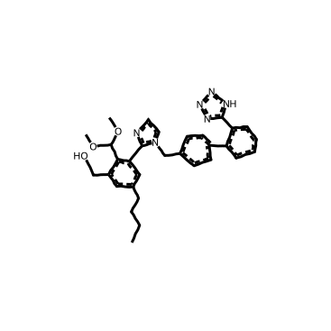 CCCCc1cc(CO)c(C(OC)OC)c(-c2nccn2Cc2ccc(-c3ccccc3-c3nnn[nH]3)cc2)c1